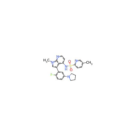 Cc1ccc(S(=O)(=O)Nc2ccnc3c2c(-c2cc(N4CCCC4)ccc2F)cn3C)nc1